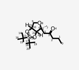 CCCC(=O)C[C@]1(C)OC[C@H]2O[Si](C(C)(C)C)(C(C)(C)C)O[C@H]21